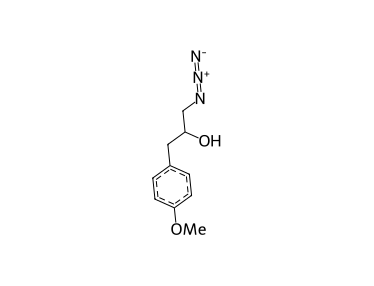 COc1ccc(CC(O)CN=[N+]=[N-])cc1